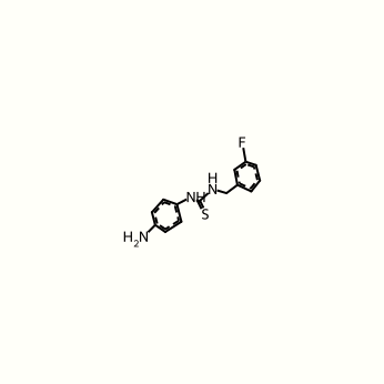 Nc1ccc(NC(=S)NCc2cccc(F)c2)cc1